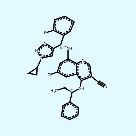 CC[C@@H](Nc1c(C#N)cnc2c(N[C@H](c3cn(C4CC4)nn3)c3ccccc3F)cc(Cl)cc12)c1ccccc1